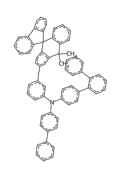 CC1(C)c2ccccc2C2(c3ccccc3-c3ccccc32)c2ccc(-c3cccc(N(c4ccc(-c5ccccc5)cc4)c4ccc(-c5ccccc5-c5ccccc5)cc4)c3)cc21